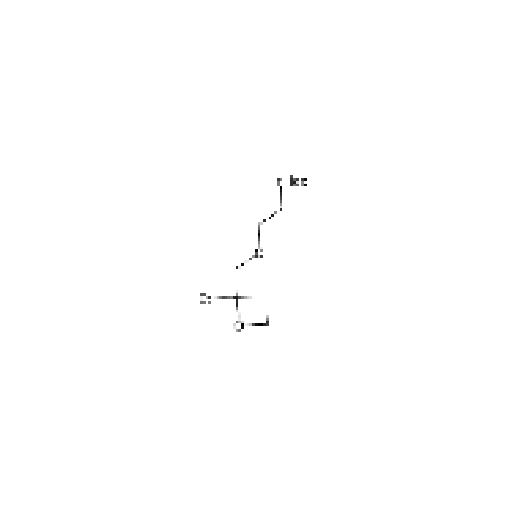 CCCCCCCCOCC1(CC)CCO1